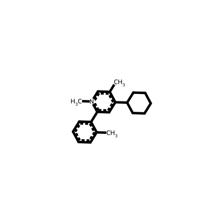 Cc1ccccc1-c1cc(C2CCCCC2)c(C)c[n+]1C